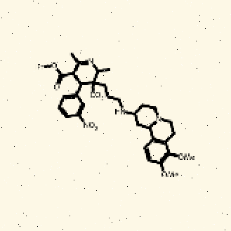 COc1ccc2c(c1OC)CCN1CCC(NCCCC3(C(=O)O)C(C)N=C(C)C(C(=O)OC(C)C)C3c3cccc([N+](=O)[O-])c3)CC21